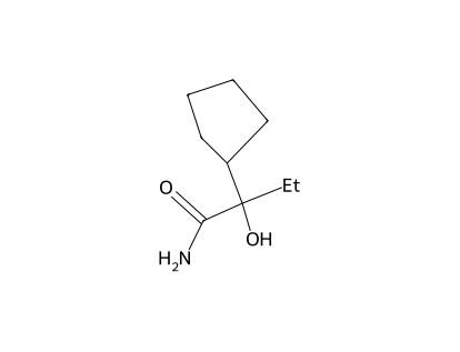 CCC(O)(C(N)=O)C1CCCC1